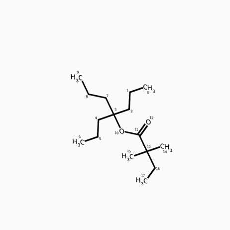 CCCC(CCC)(CCC)OC(=O)C(C)(C)CC